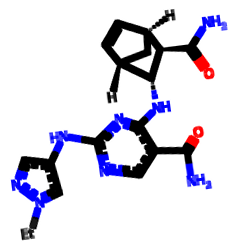 CCn1cc(Nc2ncc(C(N)=O)c(N[C@H]3[C@H](C(N)=O)[C@@H]4C=C[C@@H]3C4)n2)cn1